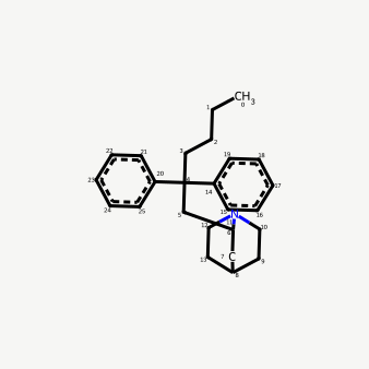 CCCCC(CC1CC2CCN1CC2)(c1ccccc1)c1ccccc1